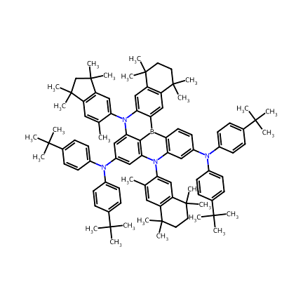 Cc1cc2c(cc1N1c3cc(N(c4ccc(C(C)(C)C)cc4)c4ccc(C(C)(C)C)cc4)ccc3B3c4cc5c(cc4N(c4cc6c(cc4C)C(C)(C)CC6(C)C)c4cc(N(c6ccc(C(C)(C)C)cc6)c6ccc(C(C)(C)C)cc6)cc1c43)C(C)(C)CCC5(C)C)C(C)(C)CCC2(C)C